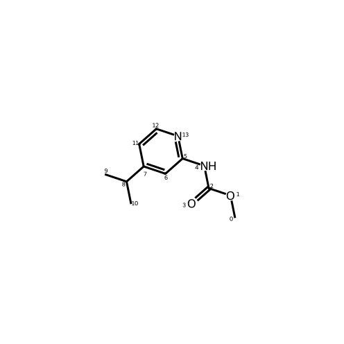 COC(=O)Nc1cc(C(C)C)ccn1